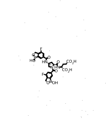 O=C(O)CC[C@H](NC(=O)[C@@H]1C[C@@H](NC(=O)c2cc(F)c3c(c2)B(O)OC3)CN1C(=O)c1cc(F)c2c(c1)B(O)OC2)C(=O)O